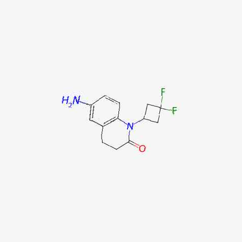 Nc1ccc2c(c1)CCC(=O)N2C1CC(F)(F)C1